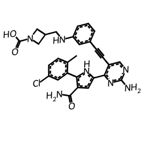 Cc1ccc(Cl)cc1-c1[nH]c(-c2nc(N)ncc2C#Cc2cccc(NCC3CN(C(=O)O)C3)c2)cc1C(N)=O